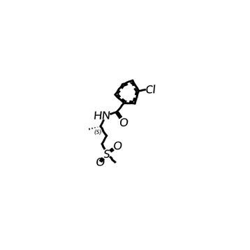 C[C@@H](CCS(C)(=O)=O)NC(=O)c1cccc(Cl)c1